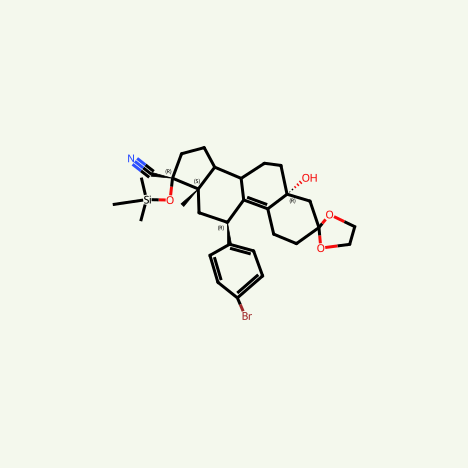 C[C@]12C[C@H](c3ccc(Br)cc3)C3=C4CCC5(C[C@]4(O)CCC3C1CC[C@@]2(C#N)O[Si](C)(C)C)OCCO5